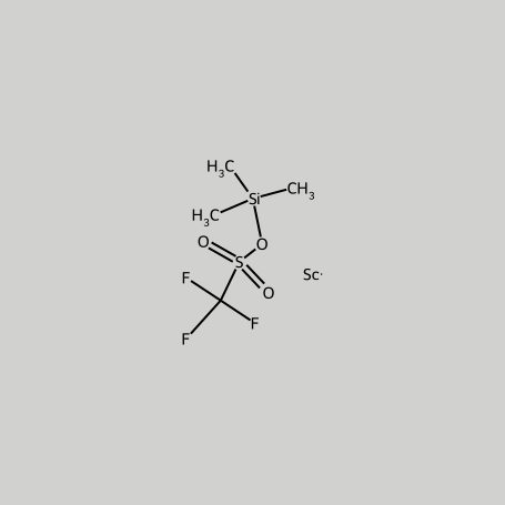 C[Si](C)(C)OS(=O)(=O)C(F)(F)F.[Sc]